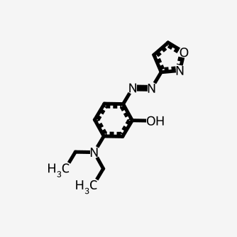 CCN(CC)c1ccc(N=Nc2ccon2)c(O)c1